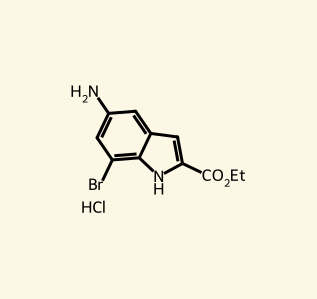 CCOC(=O)c1cc2cc(N)cc(Br)c2[nH]1.Cl